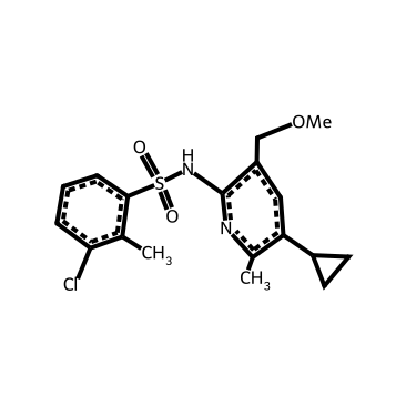 COCc1cc(C2CC2)c(C)nc1NS(=O)(=O)c1cccc(Cl)c1C